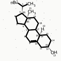 CCCCC(C)[C@H]1CCC2C3CC=C4C[C@@H](O)CC[C@@H]4C3CC[C@@]21C